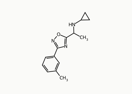 Cc1cccc(-c2noc(C(C)NC3CC3)n2)c1